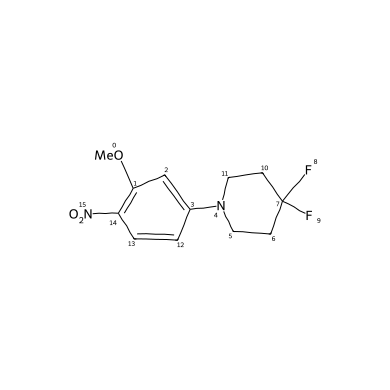 COc1cc(N2CCC(F)(F)CC2)ccc1[N+](=O)[O-]